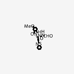 COc1ccc2c(c1)C(=O)N(C[C@@H](C#Cc1nc3ccccc3s1)NC(=O)NC=O)C2